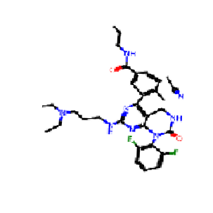 CC#N.CCCNC(=O)c1ccc(C)c(-c2nc(NCCCN(CC)CC)nc3c2CNC(=O)N3c2c(F)cccc2F)c1